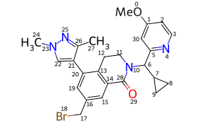 COc1ccnc(C(C2CC2)N2CCc3c(cc(CBr)cc3-c3cn(C)nc3C)C2=O)c1